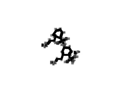 C=CCc1ccccc1S(=O)(=O)[O-].C=CCc1ccccc1S(=O)(=O)[O-].[Ni+2]